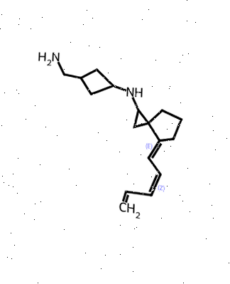 C=C/C=C\C=C1/CCCC12CC2NC1CC(CN)C1